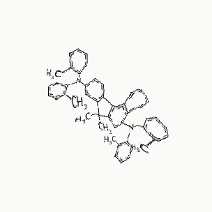 Cc1ccccc1N(c1ccc2c(c1)C(C)(C)c1cc(N(c3ccccc3C)c3ccccc3C)c3ccccc3c1-2)c1ccccc1C